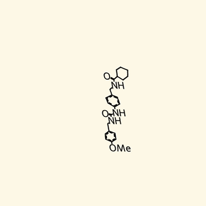 COc1ccc(CNC(=O)Nc2ccc(CNC(=O)C3CCCCC3)cc2)cc1